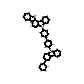 c1ccc(-c2ccc3c(c2)c2ccccc2n3-c2ccc(-c3ccc(-n4c5ccccc5c5c6sc7ccccc7c6ccc54)cc3)cc2)cc1